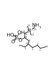 CCCCC(CC)CC(C[N+](C)(C)C)OP(=O)(O)O.N